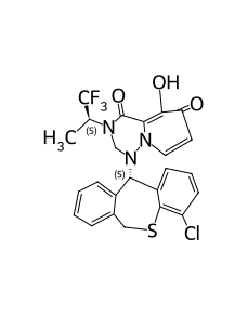 C[C@H](N1CN([C@H]2c3ccccc3CSc3c(Cl)cccc32)n2ccc(=O)c(O)c2C1=O)C(F)(F)F